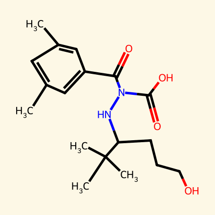 Cc1cc(C)cc(C(=O)N(NC(CCCO)C(C)(C)C)C(=O)O)c1